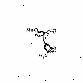 COc1cc(C=O)c(OCc2cc(C)[nH]c(=O)c2)cn1